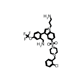 NCCCn1cc(-c2ccc(OC(F)(F)F)cc2CN)c2cc(S(=O)(=O)N3CCN(Cc4ccccc4Cl)CC3)ccc21